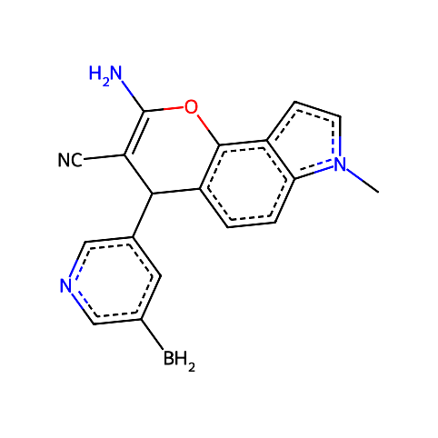 Bc1cncc(C2C(C#N)=C(N)Oc3c2ccc2c3ccn2C)c1